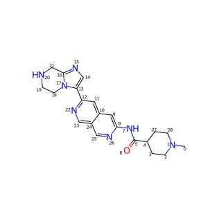 CN1CCC(C(=O)Nc2cc3cc(-c4cnc5n4CCNC5)ncc3cn2)CC1